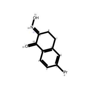 CC(C)c1ccc2c(c1)CC/C(=N\O)C2=O